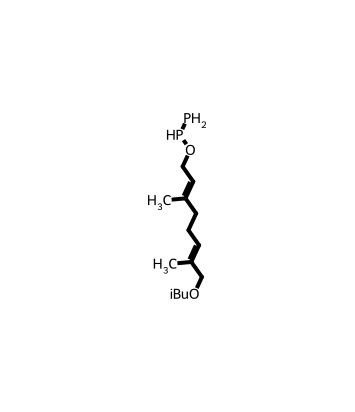 C/C(=C\COPP)CC/C=C(\C)COCC(C)C